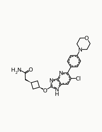 NC(=O)C[C@H]1C[C@@H](Oc2nc3nc(-c4ccc(N5CCOCC5)cc4)c(Cl)cc3[nH]2)C1